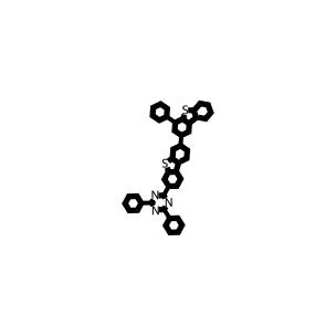 c1ccc(-c2nc(-c3ccccc3)nc(-c3ccc4c(c3)sc3cc(-c5cc(-c6ccccc6)c6sc7ccccc7c6c5)ccc34)n2)cc1